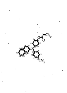 C=CC(=O)Oc1ccc(N(c2ccc(C)cc2)c2ccc3ccccc3c2)cc1